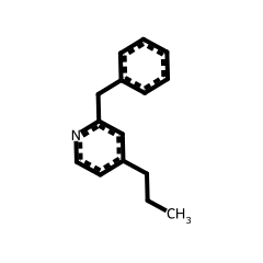 CCCc1ccnc(Cc2ccccc2)c1